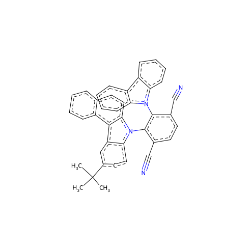 CC(C)(C)c1ccc2c(c1)c1c3ccccc3ccc1n2-c1c(C#N)ccc(C#N)c1-n1c2ccccc2c2ccccc21